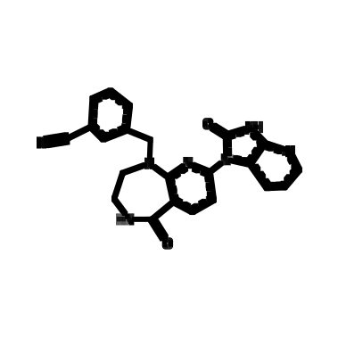 N#Cc1cccc(CN2CCNC(=O)c3ccc(-n4c(=O)[nH]c5ncccc54)nc32)c1